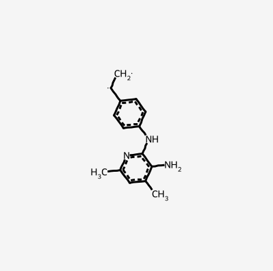 [CH2][CH]c1ccc(Nc2nc(C)cc(C)c2N)cc1